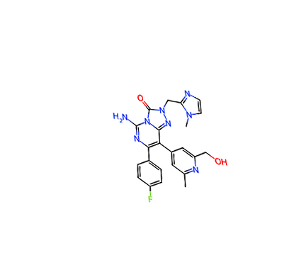 Cc1cc(-c2c(-c3ccc(F)cc3)nc(N)n3c(=O)n(Cc4nccn4C)nc23)cc(CO)n1